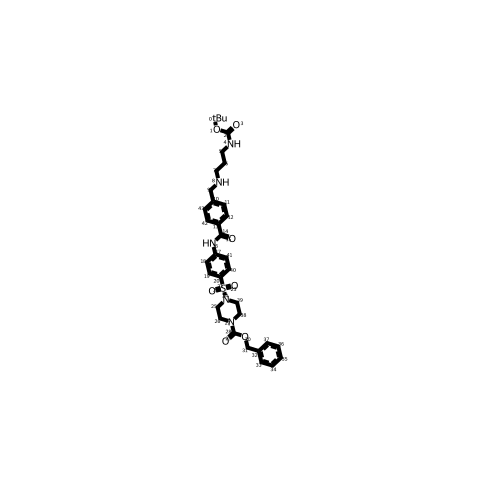 CC(C)(C)OC(=O)NCCCNCc1ccc(C(=O)Nc2ccc(S(=O)(=O)N3CCN(C(=O)OCc4ccccc4)CC3)cc2)cc1